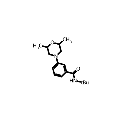 CC1CN(c2cccc(C(=O)NC(C)(C)C)c2)CC(C)O1